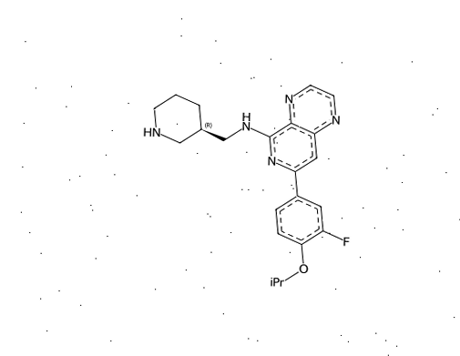 CC(C)Oc1ccc(-c2cc3nccnc3c(NC[C@@H]3CCCNC3)n2)cc1F